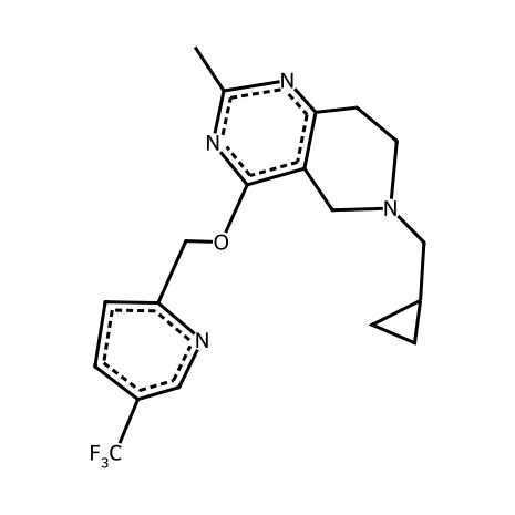 Cc1nc2c(c(OCc3ccc(C(F)(F)F)cn3)n1)CN(CC1CC1)CC2